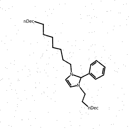 CCCCCCCCCCCCCCCCCN1C=CN(CCCCCCCCCCCC)C1c1ccccc1